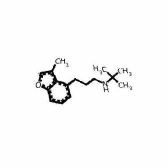 Cc1[c]oc2cccc(CCCNC(C)(C)C)c12